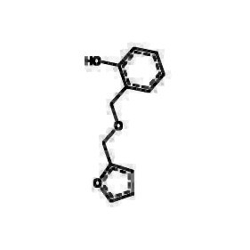 Oc1ccccc1COCc1ccco1